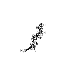 NCCCC[C@H](N)C(=O)N[C@@H](CO)C(=O)NCC(=O)N[C@@H](CO)C(=O)N[C@@H](CS)C(=O)N[C@@H](CO)C(=O)NCC(=O)N[C@@H](CO)C(=O)O